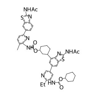 CCc1ncc(-c2cc(C3CCCC(OC(=O)Nc4nc(-c5ccc6nc(NC(C)=O)sc6c5)ccc4C)C3)c3nc(NC(C)=O)sc3c2)cc1NC(=O)OC1CCCCC1